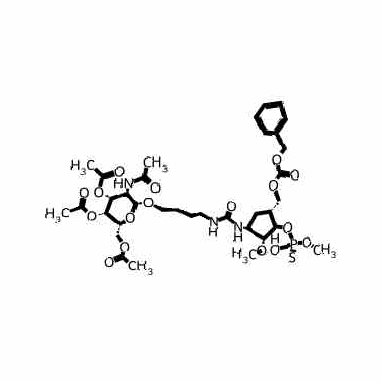 CO[C@H]1C(OP(O)(=S)OC)[C@@H](COC(=O)OCc2ccccc2)C[C@H]1NC(=O)NCCCCO[C@@H]1O[C@H](COC(C)=O)[C@H](OC(C)=O)[C@H](OC(C)=O)[C@H]1NC(C)=O